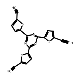 C#Cc1ccc(-c2nc(-c3ccc(C#C)s3)nc(-c3ccc(C#C)s3)n2)s1